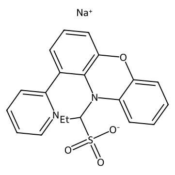 CCC(N1c2ccccc2Oc2cccc(-c3ccccn3)c21)S(=O)(=O)[O-].[Na+]